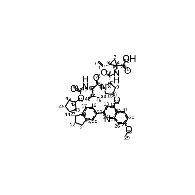 C=C[C@@H]1C[C@]1(NC(=O)[C@@H]1C[C@@H](Oc2cc(-c3ccc4c(c3)CCC4)nc3cc(OC)ccc23)CN1C(=O)[C@@H](NC(=O)OC1CCCC1)C(C)C)C(=O)O